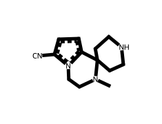 [C-]#[N+]c1ccc2n1CCN(C)C21CCNCC1